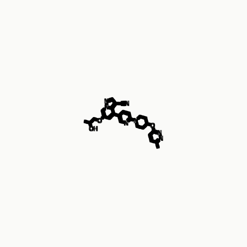 Cc1ccc(OC2CCN(c3ccc(-c4cc(OCC(C)O)cn5ncc(C#N)c45)cn3)CC2)nn1